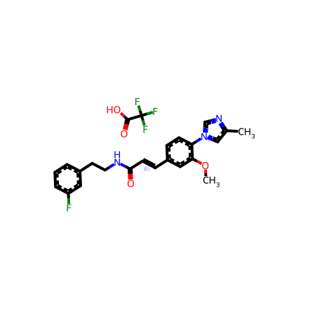 COc1cc(/C=C/C(=O)NCCc2cccc(F)c2)ccc1-n1cnc(C)c1.O=C(O)C(F)(F)F